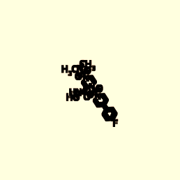 CN(C)S(=O)(=O)N1CCN(S(=O)(=O)N2CC=C(c3ccc(F)cc3)CC2)C(C(=O)NO)C1